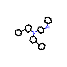 c1ccc(Nc2ccc(N(c3cccc(-c4ccccc4)c3)c3cccc(-c4ccccc4)c3)cc2)cc1